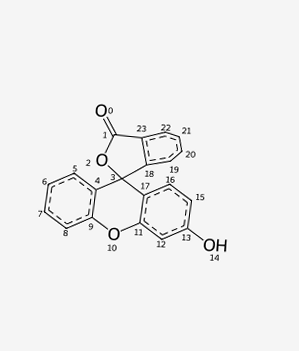 O=C1OC2(c3ccccc3Oc3cc(O)ccc32)c2ccccc21